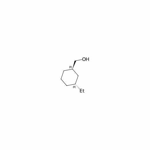 CC[C@@H]1CCC[C@@H](CO)C1